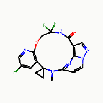 CN1c2ccn3ncc(c3n2)C(=O)NC(F)(F)COc2ncc(F)cc2C12CC2